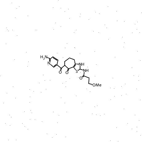 COCCC(=O)NC1NC2=C(S1)C(=O)C(C(=O)c1ccc(N)nc1)CCC2